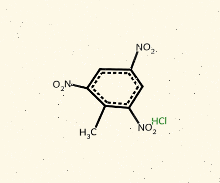 Cc1c([N+](=O)[O-])cc([N+](=O)[O-])cc1[N+](=O)[O-].Cl